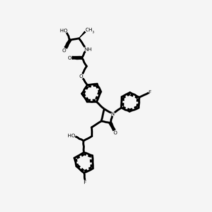 C[C@@H](NC(=O)COc1ccc(C2C(CCC(O)c3ccc(F)cc3)C(=O)N2c2ccc(F)cc2)cc1)C(=O)O